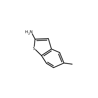 Cc1ccc2sc(N)cc2c1